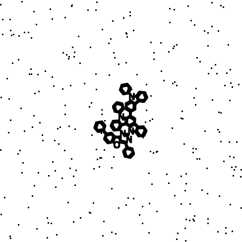 c1ccc(-c2ccc3oc4c(-c5ccccc5)nc(-n5c6ccccc6c6cc(-c7ccc8c(c7)c7ccccc7n8-c7ccccc7)c7c(c8ccccc8n7-c7ccccc7)c65)nc4c3c2)cc1